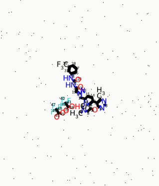 Cc1ncnc(OCCN(C)C)c1-c1ccc(C[n+]2cc(NC(=O)Nc3cccc(C(F)(F)F)c3)on2)nc1.O=C(O)C(F)(F)F.O=C([O-])C(F)(F)F